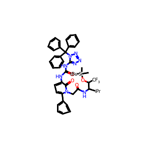 CC(C)C(NC(=O)Cn1c(-c2ccccc2)ccc(NC(=O)Nc2nnnn2C(c2ccccc2)(c2ccccc2)c2ccccc2)c1=O)C(O[Si](C)(C)C(C)(C)C)C(F)(F)F